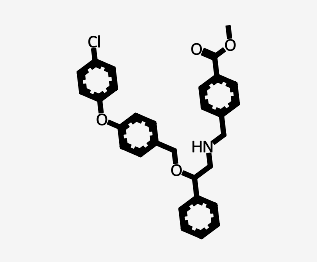 COC(=O)c1ccc(CNCC(OCc2ccc(Oc3ccc(Cl)cc3)cc2)c2ccccc2)cc1